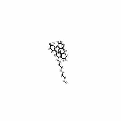 CCCCCCCCCCCCC(c1ccccc1)N(c1cccnc1C)c1cccnc1C